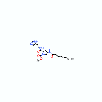 CCCCCCCCCCCCCCCC(=O)N[C@H]1C[C@@H](C(=O)NCCc2cnc[nH]2)N(C(=O)OC(C)(C)C)C1